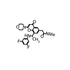 CNC(=O)Cc1cc(C(C)Nc2cc(F)cc(F)c2)c2oc(N3CCOCC3)cc(=O)c2c1